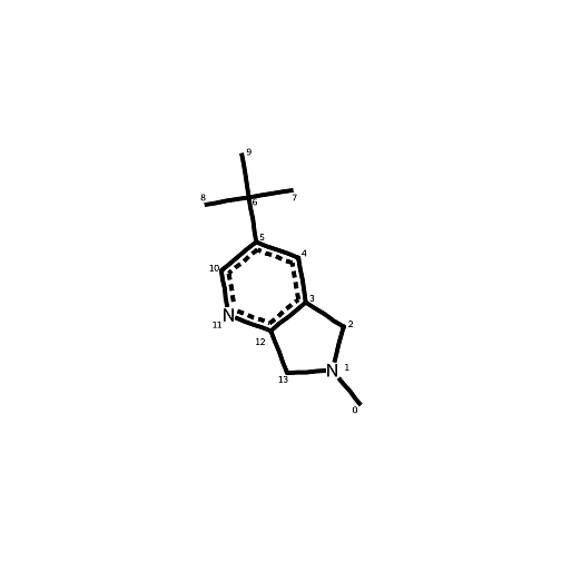 CN1Cc2cc(C(C)(C)C)cnc2C1